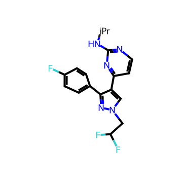 CC(C)Nc1nccc(-c2cn(CC(F)F)nc2-c2ccc(F)cc2)n1